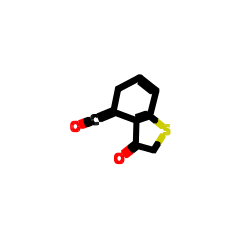 O=C=C1CC=CC2=C1C(=O)CS2